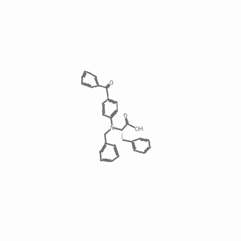 O=C(c1ccccc1)c1ccc(N(Cc2ccccc2)[C@@H](Cc2ccccc2)C(=O)O)cc1